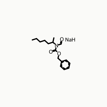 CCCCCC(C)N(C=O)C(=O)OCc1ccccc1.[NaH]